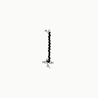 CCCCCCCCCCCCCCCCCCCCCCC(C)(O)C(=O)O